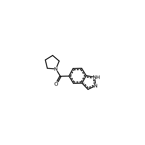 O=C(c1ccc2[nH]ncc2c1)N1CCCC1